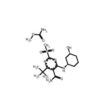 CC(C)(C)c1nc(S(C)(=O)=O)nc(N[C@@H]2CCC[C@H](O)C2)c1C(N)=O.COC(N)=O